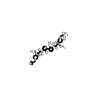 Cc1c(NC(=O)c2nc3c(n2C)CCN(C[C@H](C)O)C3)cccc1-c1nccc(NC(=O)c2nc3c(n2C)CCN(CC2COC2)C3)c1Cl